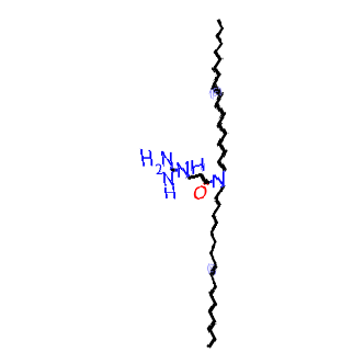 CCCCCCCC/C=C/CCCCCCCCN(CCCCCCCC/C=C/CCCCCCCC)C(=O)CCNC(=N)N